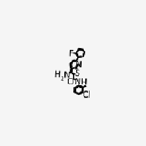 Cc1c(Cl)cccc1NC(=O)c1sc2nc(-c3ccccc3F)ccc2c1N